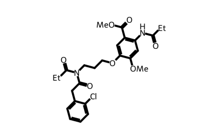 CCC(=O)Nc1cc(OC)c(OCCCN(C(=O)CC)C(=O)Cc2ccccc2Cl)cc1C(=O)OC